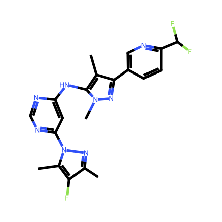 Cc1nn(-c2cc(Nc3c(C)c(-c4ccc(C(F)F)nc4)nn3C)ncn2)c(C)c1F